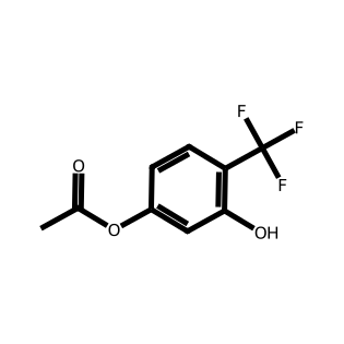 CC(=O)Oc1ccc(C(F)(F)F)c(O)c1